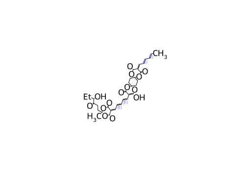 C/C=C/C=C/C=C1C(=O)OC2(CCC3(CC2)OC(=O)C(/C=C/C=C/C=C2C(=O)OC(C)(CCC(=O)C(O)CC)OC2=O)=C(O)O3)OC1=O